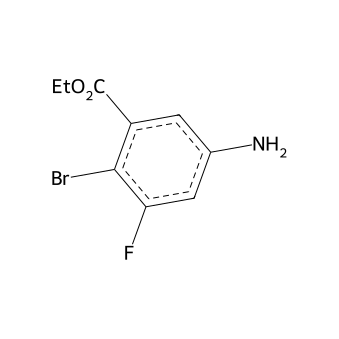 CCOC(=O)c1cc(N)cc(F)c1Br